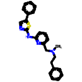 CN(CCc1ccccc1)Cc1cccc(Nc2ncc(-c3ccccc3)s2)n1